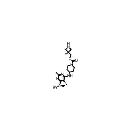 Cc1nc(NC2CCN(C(=O)OCC3(F)CNC3)CC2)c2ncn(C(C)C)c2n1